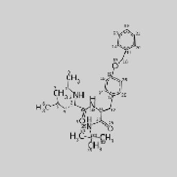 CCN[C@@H](CC(C)C)C(=O)N[C@@H](Cc1ccc(OCc2ccccc2)cc1)C(=O)NC(C)(C)C